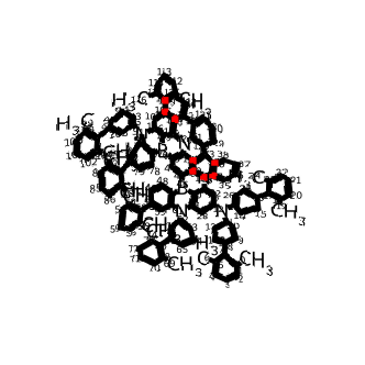 Cc1cccc(C)c1-c1ccc(N(c2ccc(-c3c(C)cccc3C)cc2)c2cc3c4c(c2)N(c2ccccc2)c2cc5c(cc2B4c2ccc(-c4c(C)cccc4C)cc2N3c2cccc(-c3c(C)cccc3C)c2)B2c3ccc(-c4c(C)cccc4C)cc3N(c3cccc(-c4c(C)cccc4C)c3)c3cc(-c4c(C)cccc4C)cc(c32)N5c2c(-c3ccccc3)cccc2-c2ccccc2)cc1